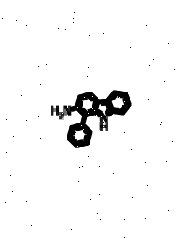 Nc1ccc2c([nH]c3ccccc32)c1-c1ccccc1